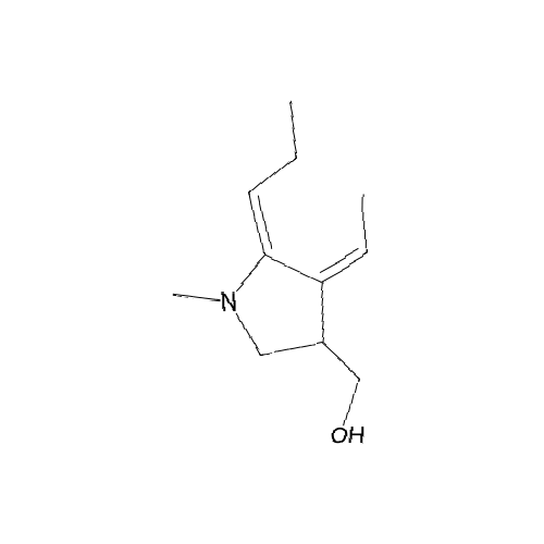 C/C=C1\C(=C/CC)N(C)CC1CO